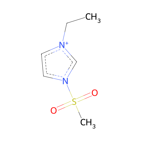 CC[n+]1ccn(S(C)(=O)=O)c1